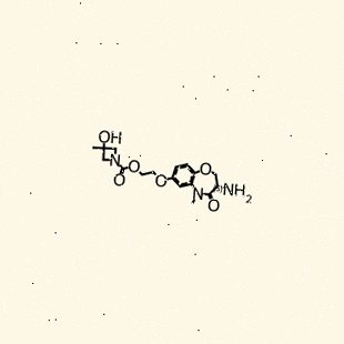 CN1C(=O)[C@@H](N)COc2ccc(OCCOC(=O)N3CC(C)(O)C3)cc21